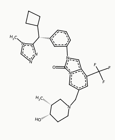 C[C@@H]1CN(Cc2cc(C(F)(F)F)c3cn(-c4cccc([C@H](c5nncn5C)C5CCC5)c4)c(=O)n3c2)CC[C@@H]1O